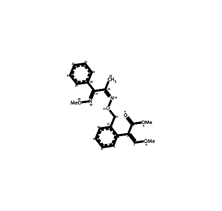 COC=C(C(=O)OC)c1ccccc1CON=C(C)C(=NOC)c1ccccc1